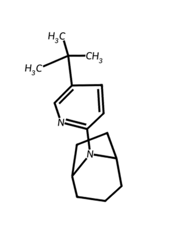 CC(C)(C)c1ccc(N2C3CCCC2CC3)nc1